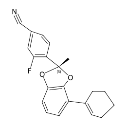 C[C@]1(c2ccc(C#N)cc2F)Oc2cccc(C3=CCCCC3)c2O1